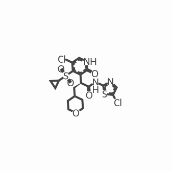 O=C(Nc1ncc(Cl)s1)[C@@H](CC1CCOCC1)c1c(S(=O)(=O)C2CC2)c(Cl)c[nH]c1=O